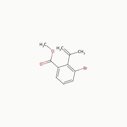 C=C(C)c1c(Br)cccc1C(=O)OC